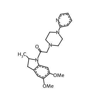 COc1cc2c(cc1OC)N(C(=O)CN1CCN(c3ccccn3)CC1)C(C)C2